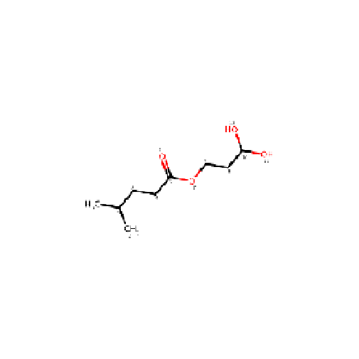 CC(C)CCC(=O)OCCC(O)O